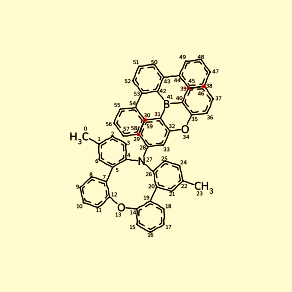 Cc1ccc2c(c1)-c1ccccc1Oc1ccccc1-c1cc(C)ccc1N2c1ccc2c(c1)Oc1ccccc1B2c1c(-c2ccccc2)cccc1-c1ccccc1